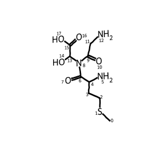 CSCCC(N)C(=O)N(C(=O)CN)C(O)C(=O)O